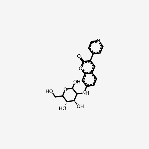 O=c1oc2cc(NC3C(O)OC(CO)[C@@H](O)[C@@H]3O)ccc2cc1-c1ccncc1